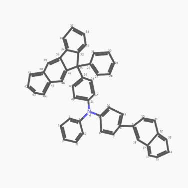 c1ccc(N(c2ccc(-c3ccc4ccccc4c3)cc2)c2ccc(C3(c4ccccc4)c4ccccc4-c4cc5ccccc5cc43)cc2)cc1